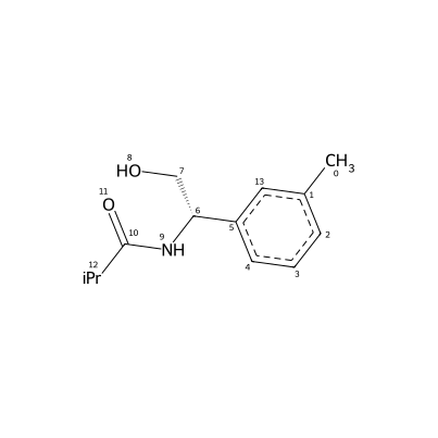 Cc1cccc([C@@H](CO)NC(=O)C(C)C)c1